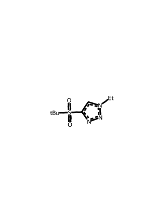 CCn1cc(S(=O)(=O)C(C)(C)C)nn1